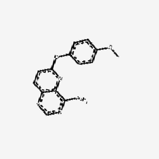 COc1ccc(Oc2ccc3ncnc([AsH2])c3n2)cc1